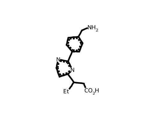 CCC(CC(=O)O)c1ccnc(-c2ccc(CN)cc2)n1